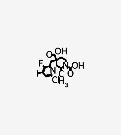 CC1CC(Cc2nc(Cl)cc(I)c2F)(C(=O)O)CCN1C(=O)O